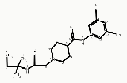 CCC(C)(C)NC(=O)CN1CCC(C(=O)Nc2cc(F)cc(Cl)c2)CC1